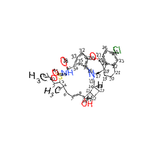 CCCC1[C@H](C)C/C=C/[C@H](O)[C@@H]2CC[C@H]2CN2C[C@@]3(CCCc4cc(Cl)ccc43)COc3ccc(cc32)C(=O)NS1(=O)=O